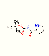 CC(C)(C)OC(=O)NC(=O)[C@H]1CCCN1